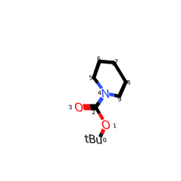 CC(C)(C)OC(=O)N1CC[C]CC1